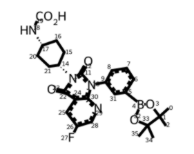 CC1(C)OB(c2cccc(-n3c(=O)n([C@H]4CC[C@@H](NC(=O)O)CC4)c(=O)c4cc(F)cnc43)c2)OC1(C)C